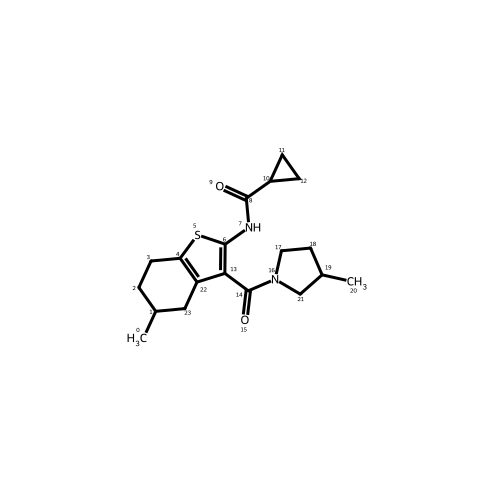 CC1CCc2sc(NC(=O)C3CC3)c(C(=O)N3CCC(C)C3)c2C1